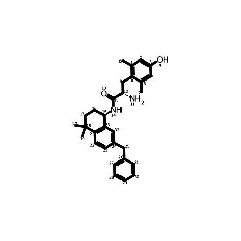 Cc1cc(O)cc(C)c1C[C@H](N)C(=O)N[C@@H]1CCC(C)(C)c2ccc(Cc3ccccc3)cc21